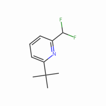 CC(C)(C)c1cccc(C(F)F)n1